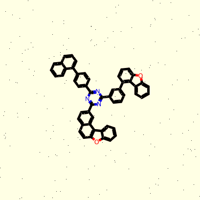 c1cc(-c2nc(-c3ccc(-c4cccc5ccccc45)cc3)nc(-c3ccc4ccc5oc6ccccc6c5c4c3)n2)cc(-c2cccc3oc4ccccc4c23)c1